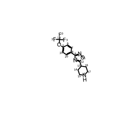 FC(F)(F)Oc1ccc(-c2noc(C3CCNCC3)n2)cc1